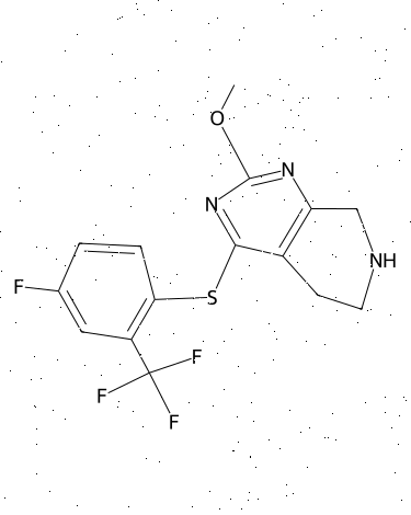 COc1nc2c(c(Sc3ccc(F)cc3C(F)(F)F)n1)CCNC2